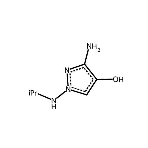 CC(C)Nn1cc(O)c(N)n1